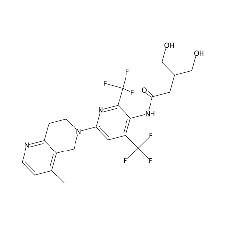 Cc1ccnc2c1CN(c1cc(C(F)(F)F)c(NC(=O)CC(CO)CO)c(C(F)(F)F)n1)CC2